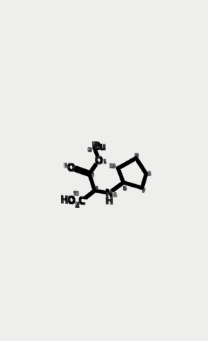 CCC(C)OC(=O)C(NC1CCCC1)C(=O)O